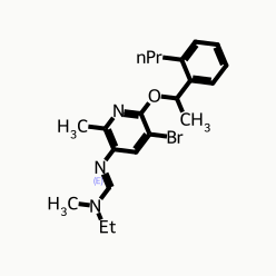 CCCc1ccccc1C(C)Oc1nc(C)c(/N=C/N(C)CC)cc1Br